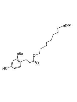 CCCCCCCCCCCCCCCCCCOC(=O)CCc1ccc(O)cc1CCCC